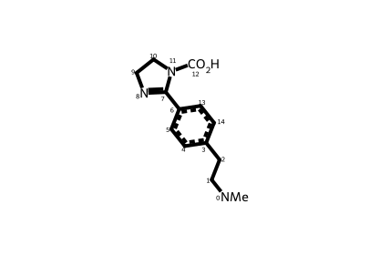 CNCCc1ccc(C2=NCCN2C(=O)O)cc1